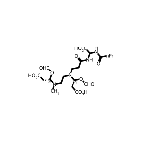 CCCC(=O)NC(NC(=O)CCN(CCN(C)[C@H](CC(=O)O)OC=O)[C@H](CC(=O)O)OC=O)C(=O)O